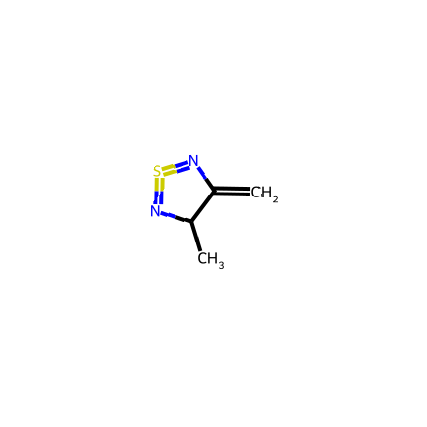 C=C1N=S=NC1C